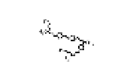 C=C(CCCN1CCN(CCC2CCC(CCCC(C)CCCC(C)C)CC2)CC1)C1CCC(CCCC(C)CCCC(C)C)CC1